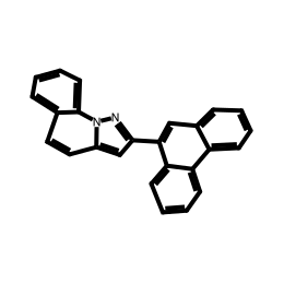 c1ccc2c(c1)cc(-c1cc3ccc4ccccc4n3n1)c1ccccc12